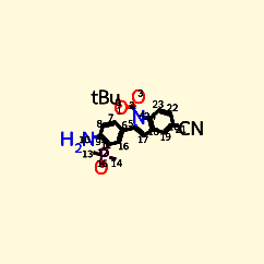 CC(C)(C)OC(=O)n1c(-c2ccc(N)c(P(C)(C)=O)c2)cc2cc(C#N)ccc21